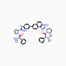 CCN[C@@H](C(=O)N1CCC[C@H]1c1nc2ccc(-c3ccc4c(ccc5[nH]c([C@@H]6CCCN6C(=O)[C@@H](c6ccccc6)N(CC)CC)nc54)c3)cc2[nH]1)c1ccccc1